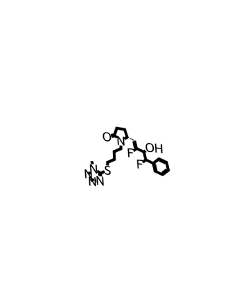 Cn1nnnc1SCCCCN1C(=O)CC[C@@H]1C=C(F)C(O)C(F)c1ccccc1